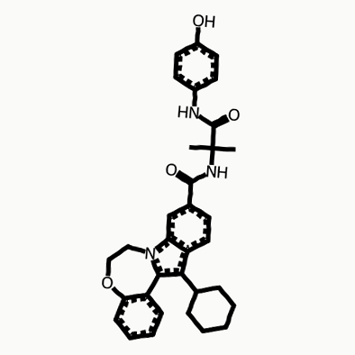 CC(C)(NC(=O)c1ccc2c(C3CCCCC3)c3n(c2c1)CCOc1ccccc1-3)C(=O)Nc1ccc(O)cc1